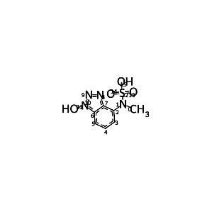 CN(c1cccc2c1nnn2O)S(=O)(=O)O